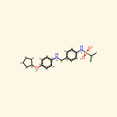 CC(C)S(=O)(=O)Nc1ccc(CNc2ccc(OC3CCCC3)cc2)cc1